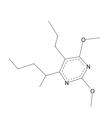 CCCc1c(OC)nc(OC)nc1C(C)CCC